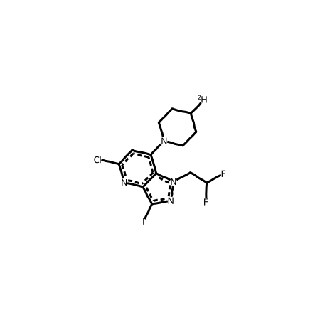 [2H]C1CCN(c2cc(Cl)nc3c(I)nn(CC(F)F)c23)CC1